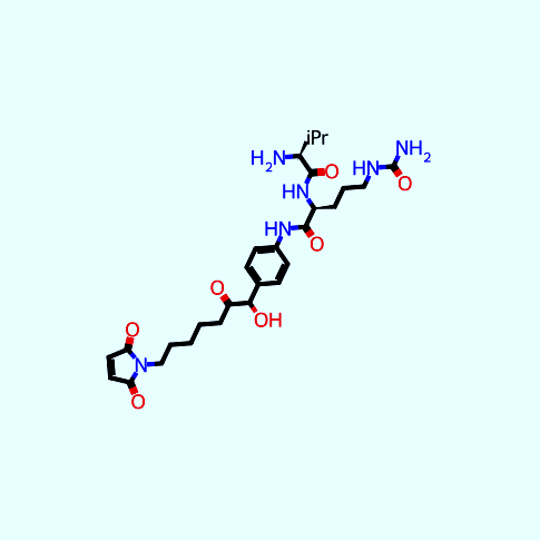 CC(C)[C@H](N)C(=O)N[C@@H](CCCNC(N)=O)C(=O)Nc1ccc(C(O)C(=O)CCCCCN2C(=O)C=CC2=O)cc1